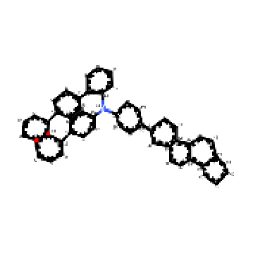 c1ccc(-c2ccc(-c3ccccc3N(c3ccc(-c4ccccc4)cc3)c3ccc(-c4ccc5c(ccc6c7ccccc7ccc56)c4)cc3)cc2)cc1